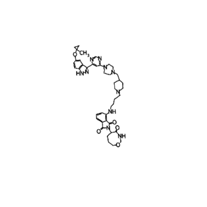 CC1(Oc2ccc3[nH]nc(-c4cc(N5CCN(CC6CCN(CCCCNc7cccc8c7C(=O)N(C7CCCOCNC7=O)C8=O)CC6)CC5)ncn4)c3c2)CC1